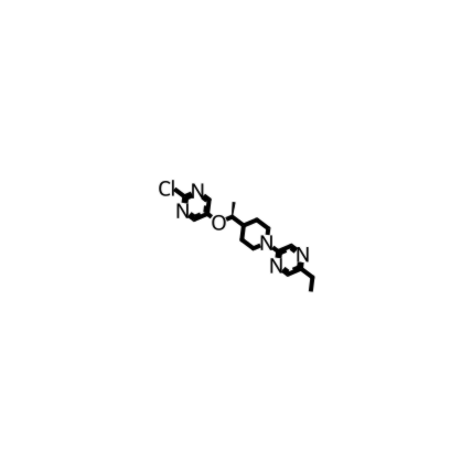 CCc1cnc(N2CCC([C@H](C)Oc3cnc(Cl)nc3)CC2)cn1